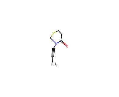 CC#CN1CSCCC1=O